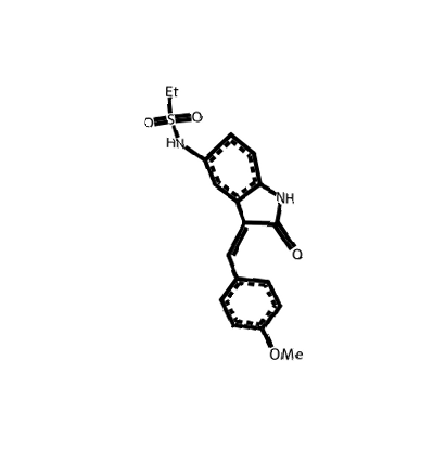 CCS(=O)(=O)Nc1ccc2c(c1)C(=Cc1ccc(OC)cc1)C(=O)N2